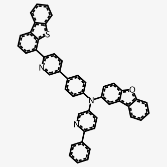 c1ccc(-c2ccc(N(c3ccc(-c4ccc(-c5cccc6c5sc5ccccc56)nc4)cc3)c3ccc4oc5ccccc5c4c3)cn2)cc1